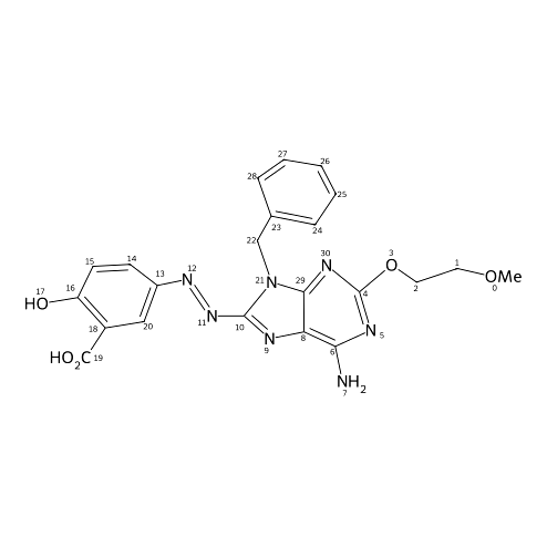 COCCOc1nc(N)c2nc(/N=N/c3ccc(O)c(C(=O)O)c3)n(Cc3ccccc3)c2n1